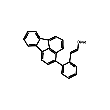 COC=Cc1ccccc1-c1ccc2c3c(cccc13)-c1ccccc1-2